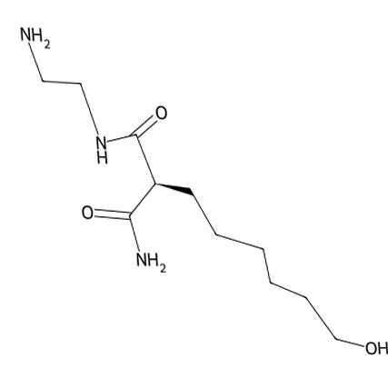 NCCNC(=O)[C@@H](CCCCCCO)C(N)=O